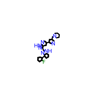 Fc1ccccc1-c1cccc2[nH]c(-c3n[nH]c4ncc(-c5cncc(CN6CCCCC6)c5)cc34)nc12